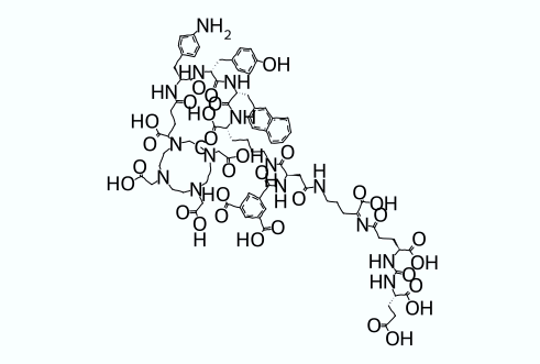 Nc1ccc(C[C@H](NC(=O)CCC(C(=O)O)N2CCN(CC(=O)O)CCN(CC(=O)O)CCN(CC(=O)O)CC2)C(=O)N[C@H](Cc2ccc(O)cc2)C(=O)N[C@H](Cc2ccc3ccccc3c2)C(=O)N[C@H](CCCCNC(=O)[C@@H](CC(=O)NCCC/C(=N/C(=O)CC[C@H](NC(=O)N[C@@H](CCC(=O)O)C(=O)O)C(=O)O)C(=O)O)NC(=O)c2cc(C(=O)O)cc(C(=O)O)c2)C(=O)O)cc1